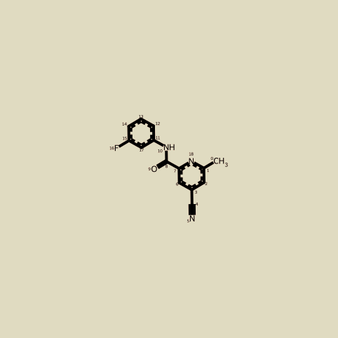 Cc1cc(C#N)cc(C(=O)Nc2cccc(F)c2)n1